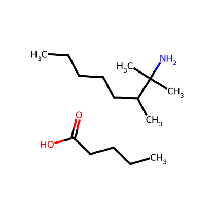 CCCCC(=O)O.CCCCCC(C)C(C)(C)N